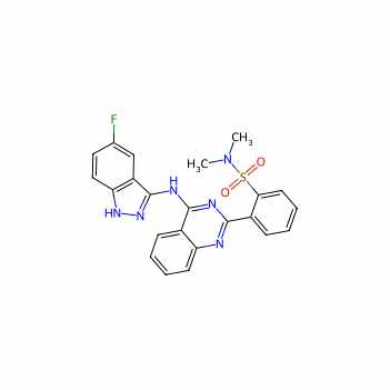 CN(C)S(=O)(=O)c1ccccc1-c1nc(Nc2n[nH]c3ccc(F)cc23)c2ccccc2n1